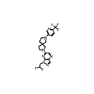 FC(F)Cn1ncc2ncc(N3CCC4(CCN(c5ccc(C(F)(F)F)nc5)C4)C3)nc21